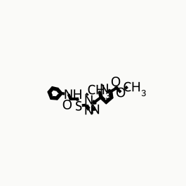 CCn1c(SCC(=O)Nc2ccccc2)nnc1-c1ccc(C(=O)OC)nc1